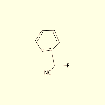 N#C[C](F)c1ccccc1